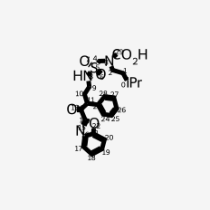 CC(C)CCN(CS(=O)(=O)NCCC(C(=O)c1nc2ccccc2o1)c1ccccc1)C(=O)O